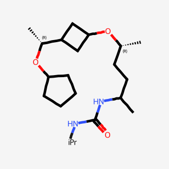 CC(C)NC(=O)NC(C)CC[C@@H](C)OC1CC([C@@H](C)OC2CCCC2)C1